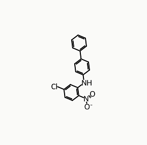 O=[N+]([O-])c1ccc(Cl)cc1Nc1ccc(-c2ccccc2)cc1